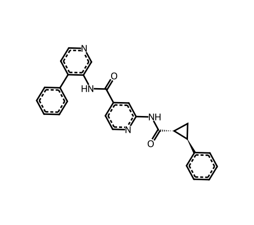 O=C(Nc1cnccc1-c1ccccc1)c1ccnc(NC(=O)[C@@H]2C[C@H]2c2ccccc2)c1